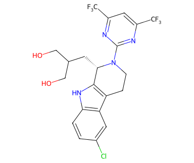 OCC(CO)C[C@H]1c2[nH]c3ccc(Cl)cc3c2CCN1c1nc(C(F)(F)F)cc(C(F)(F)F)n1